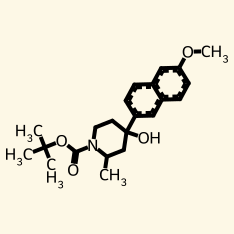 COc1ccc2cc(C3(O)CCN(C(=O)OC(C)(C)C)C(C)C3)ccc2c1